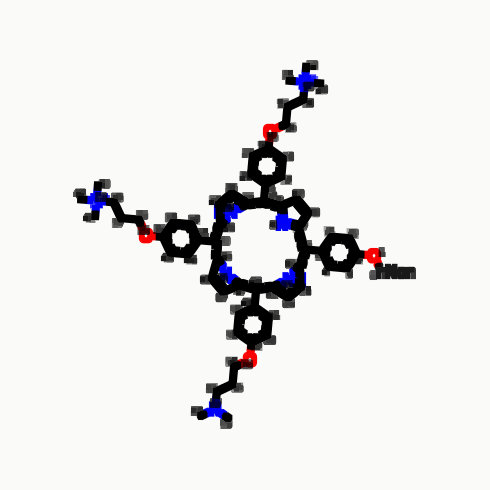 CCCCCCCCCOc1ccc(-c2c3nc(c(-c4ccc(OCCC[N+](C)(C)C)cc4)c4ccc([nH]4)c(-c4ccc(OCCC[N+](C)(C)C)cc4)c4nc(c(-c5ccc(OCCCN(C)C)cc5)c5ccc2[nH]5)C=C4)C=C3)cc1